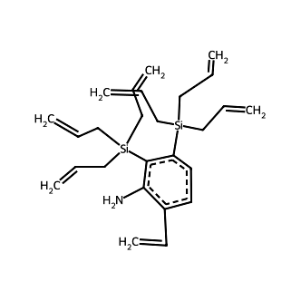 C=CC[Si](CC=C)(CC=C)c1ccc(C=C)c(N)c1[Si](CC=C)(CC=C)CC=C